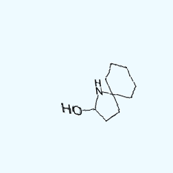 OC1CCC2(CCCCC2)N1